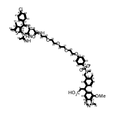 COc1cc(C(CC(=O)O)c2ccc(C)c(CN(C)S(=O)(=O)c3ccc(OCCOCCOCCOCCNC(=O)C[C@@H]4N=C(c5ccc(Cl)cc5)c5c(sc(C)c5C)N(C(C)=N)C4=N)cc3)c2)cc2nnn(C)c12